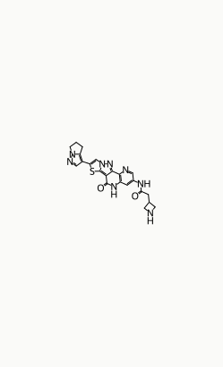 O=C(CC1CNC1)Nc1cnc2c(c1)[nH]c(=O)c1c2nn2cc(-c3cnn4c3CCC4)sc12